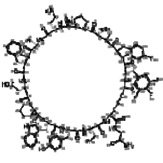 CCCC[C@H]1C(=O)N2CCC[C@@H]2C(=O)N[C@@H](CCN)C(=O)N[C@@H](C(C)C)C(=O)N(C)[C@@H](Cc2ccccc2)C(=O)N[C@@H](CC(=O)O)C(=O)N2CCCC[C@@H]2C(=O)N[C@@H](Cc2c[nH]c3ccccc23)C(=O)N[C@@H](Cc2ccc(O)cc2)C(=O)N[C@@H](CC(C)C)C(=O)N[C@H](C(=O)NCC(N)=O)CSCC(=O)N[C@@H](Cc2cc(F)c(F)c(F)c2)C(=O)N(C)C(Cc2ccc(F)cc2)C(=O)N1C